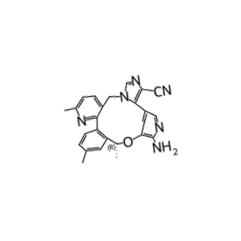 Cc1ccc2c(c1)[C@@H](C)Oc1cc(cnc1N)-c1c(C#N)ncn1Cc1ccc(C)nc1-2